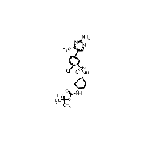 Cc1nc(N)ncc1-c1ccc(Cl)c(S(=O)(=O)N[C@H]2CC[C@@H](NC(=O)OC(C)(C)C)CC2)c1